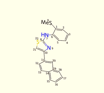 CSc1ccccc1Nc1nc(-c2ccc3ccccc3c2)cs1